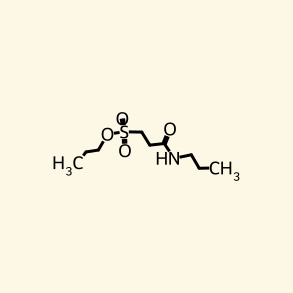 CCCNC(=O)CCS(=O)(=O)OCCC